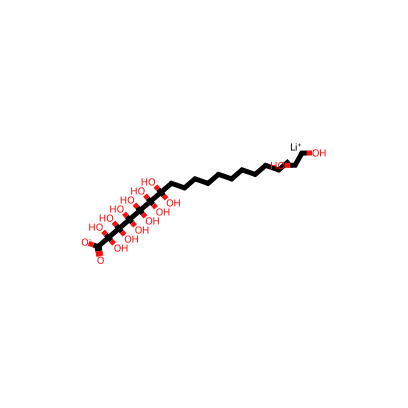 CCCCCCCCCCCC(O)(O)C(O)(O)C(O)(O)C(O)(O)C(O)(O)C(O)(O)C(=O)[O-].OCCO.[Li+]